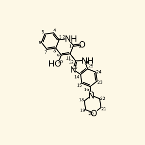 O=c1[nH]c2ccccc2c(O)c1-c1nc2cc(N3CCOCC3)ccc2[nH]1